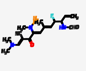 C=CC(NC=O)C(F)/C=C(C)/C=C(/C(=O)/C(C#N)=C/N(C)C)N(C)P